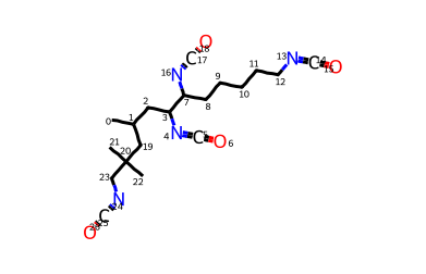 CC(CC(N=C=O)C(CCCCCN=C=O)N=C=O)CC(C)(C)CN=C=O